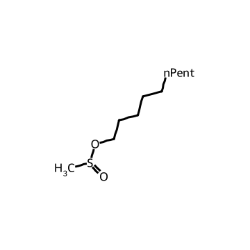 CCCCCCCCCCOS(C)=O